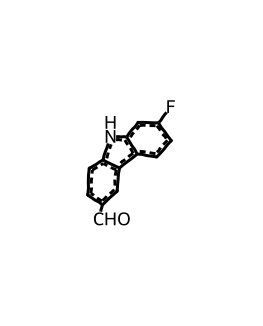 O=Cc1ccc2[nH]c3cc(F)ccc3c2c1